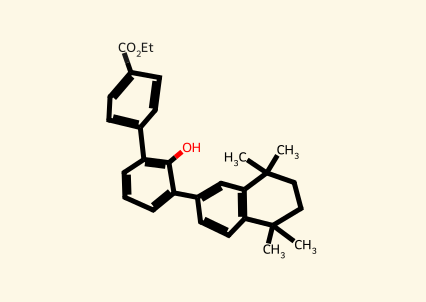 CCOC(=O)c1ccc(-c2cccc(-c3ccc4c(c3)C(C)(C)CCC4(C)C)c2O)cc1